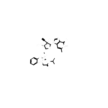 C#C[C@@]1(O)[C@H](O)[C@@H](COP(=S)(N[C@@H](C)C(=O)OC(C)C)Oc2ccccc2)O[C@H]1n1cnc2c(=O)[nH]c(C)cc21